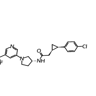 O=C(C[C@H]1C[C@H]1c1ccc(Cl)cc1)N[C@@H]1CCN(c2cncc(C(F)(F)F)c2)C1